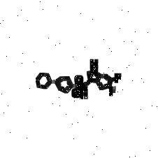 O=S(=O)(Nc1c[nH]c2cc(F)c(F)cc12)c1ccc(C2CCCCC2)cc1